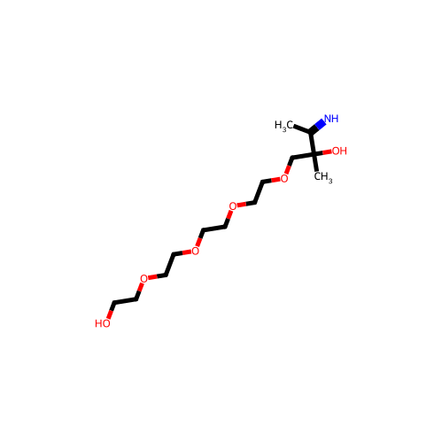 CC(=N)C(C)(O)COCCOCCOCCOCCO